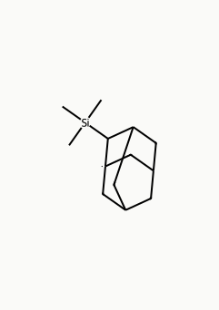 C[Si](C)(C)C1[C]2CC3CC(C2)CC1C3